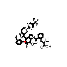 CCc1cccc(CC)c1-n1nc2c(c1-c1cc(F)c(OC)c3c1ccn3C(=O)c1ccccc1CC(C(=O)O)N(C)C)CN(c1ncc(C(F)(F)F)cn1)CC2